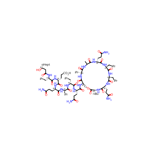 CCCCCCC[C@@H](O)CC(=O)N[C@@H](CC(C)C)C(=O)N[C@H](CCC(=O)O)C(=O)N[C@H](CCC(N)=O)C(=O)N[C@@H](C(=O)N[C@H](CC(C)C)C(=O)N[C@@H](CCC(N)=O)C(=O)N[C@@H]1COC(=O)[C@H]([C@@H](C)CC)NC(=O)[C@@H](CCC(N)=O)NC(=O)[C@H](CC(C)C)NC(=O)[C@H](CC(C)C)NC(=O)[C@@H](CCC(N)=O)NC(=O)C(C)NC(=O)[C@@H](C(C)C)NC1=O)C(C)C